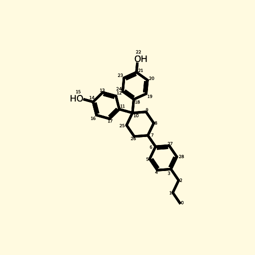 CCCc1ccc(C2CCC(c3ccc(O)cc3)(c3ccc(O)cc3)CC2)cc1